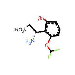 N[C@H](CC(=O)O)c1c(Br)cccc1OC(F)F